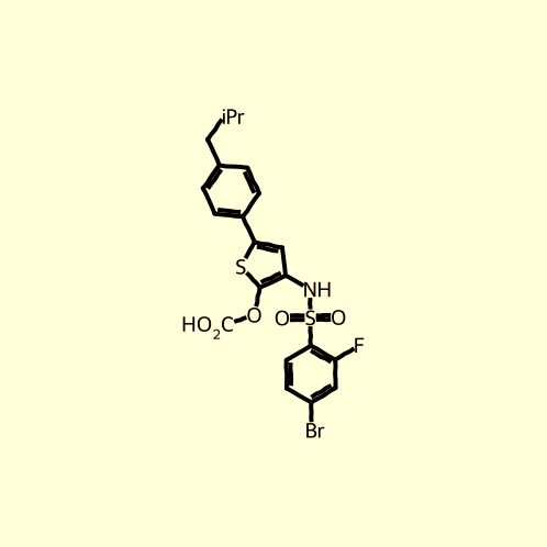 CC(C)Cc1ccc(-c2cc(NS(=O)(=O)c3ccc(Br)cc3F)c(OC(=O)O)s2)cc1